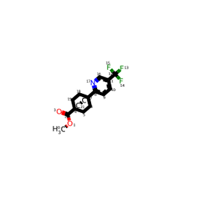 COC(=O)C12CCC(c3ccc(C(F)(F)F)cn3)(CC1)CC2